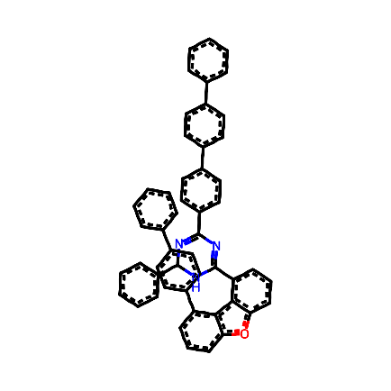 c1ccc(-c2ccc(-c3ccc(C4=NC(c5ccccc5)NC(c5cccc6oc7cccc(-c8ccc(-c9ccccc9)cc8)c7c56)=N4)cc3)cc2)cc1